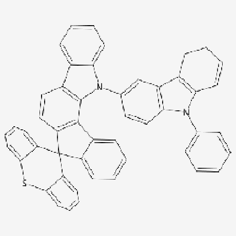 C1=Cc2c(c3cc(-n4c5ccccc5c5ccc6c(c54)-c4ccccc4C64c5ccccc5Sc5ccccc54)ccc3n2-c2ccccc2)CC1